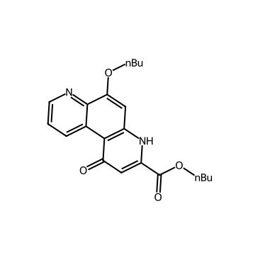 CCCCOC(=O)c1cc(=O)c2c(cc(OCCCC)c3ncccc32)[nH]1